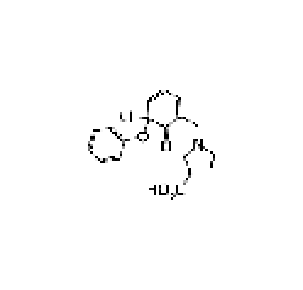 O=C(O)C1CCN(CC2=CC=CC(Cl)(Oc3ccccc3)C2=O)C1